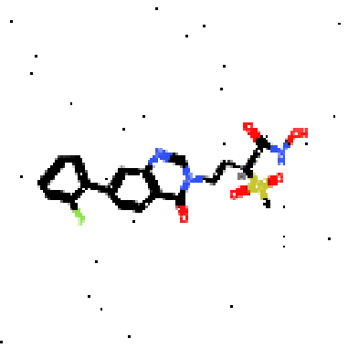 CS(=O)(=O)[C@H](CCn1cnc2cc(-c3ccccc3F)ccc2c1=O)C(=O)NO